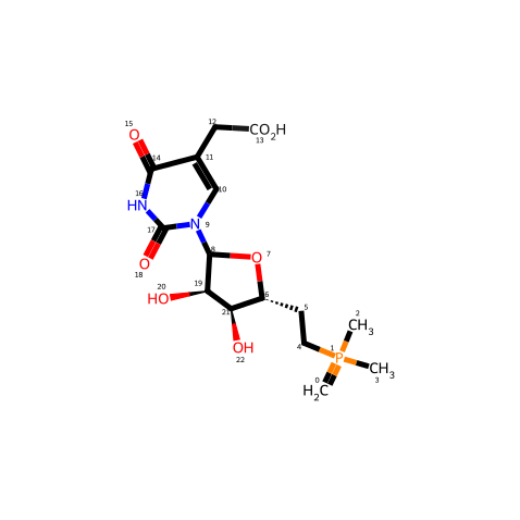 C=P(C)(C)CC[C@H]1OC(n2cc(CC(=O)O)c(=O)[nH]c2=O)[C@H](O)[C@@H]1O